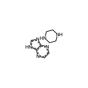 C1CNCCN1.c1cnc2[nH]cnc2n1